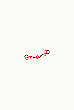 C(#CCOC1CCCCO1)COCC#CCOC1CCCCO1